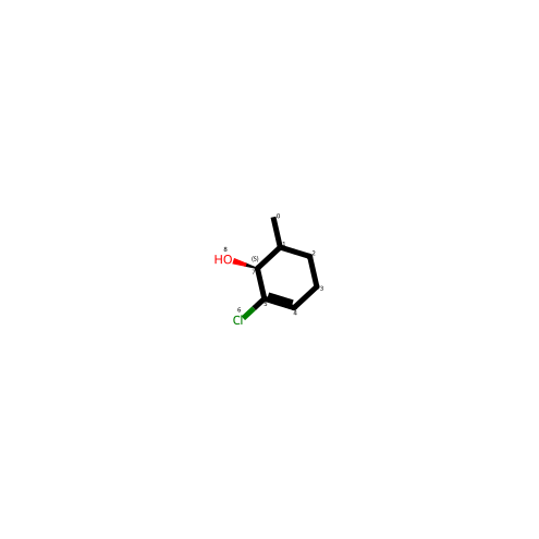 CC1CCC=C(Cl)[C@H]1O